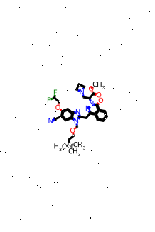 COC(=O)C(CN1CCC1)n1nc(Cc2nc3cc(OCC(F)F)c(C#N)cc3n2COCC[Si](C)(C)C)c2ccccc2c1=O